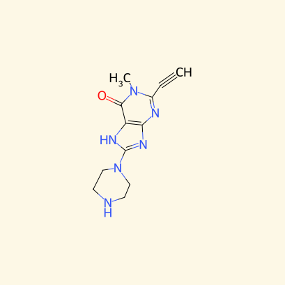 C#Cc1nc2nc(N3CCNCC3)[nH]c2c(=O)n1C